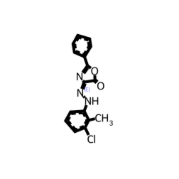 Cc1c(Cl)cccc1N/N=C1/N=C(c2ccccc2)OC1=O